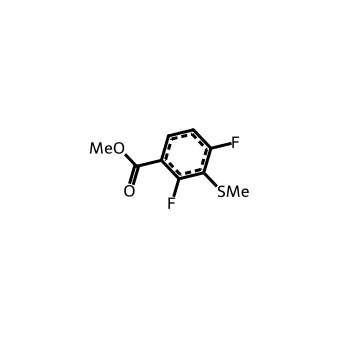 COC(=O)c1ccc(F)c(SC)c1F